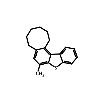 Cc1cc2c(c3c1sc1ccccc13)CCCCCC2